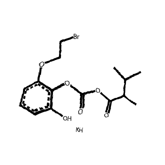 CC(C)C(C)C(=O)OC(=O)Oc1c(O)cccc1OCCBr.[KH]